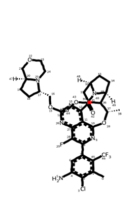 Cc1c(Cl)c(N)cc(-c2nc3c4c(nc(OC[C@@H]5CC[C@H]6COCCN65)nc4c2F)N2C[C@H]4CC[C@@H](C2[C@H](C)O3)N4C(=O)OC(C)(C)C)c1C(F)(F)F